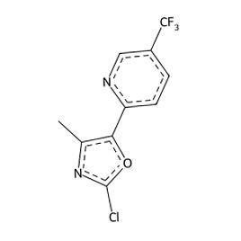 Cc1nc(Cl)oc1-c1ccc(C(F)(F)F)cn1